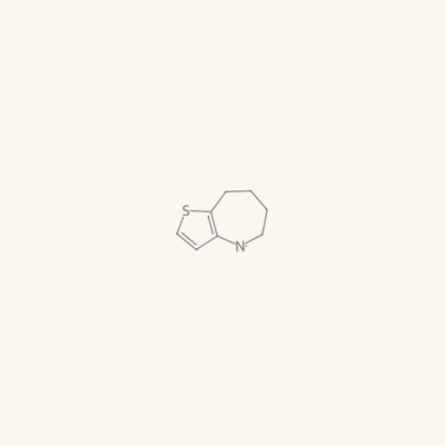 c1cc2c(s1)CCCC[N]2